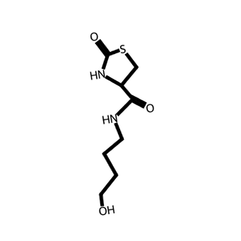 O=C1NC(C(=O)NCCCCO)CS1